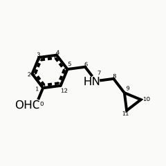 O=Cc1cccc(CNCC2CC2)c1